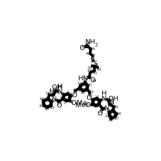 COc1cc2c(cc1OCc1cc(COc3cc4c(cc3OC)C(=O)N3c5ccccc5C[C@H]3C(O)N4)cc(NC(=O)CCC(C)(C)SSCCCC(N)=O)c1)NC(O)[C@@H]1Cc3ccccc3N1C2=O